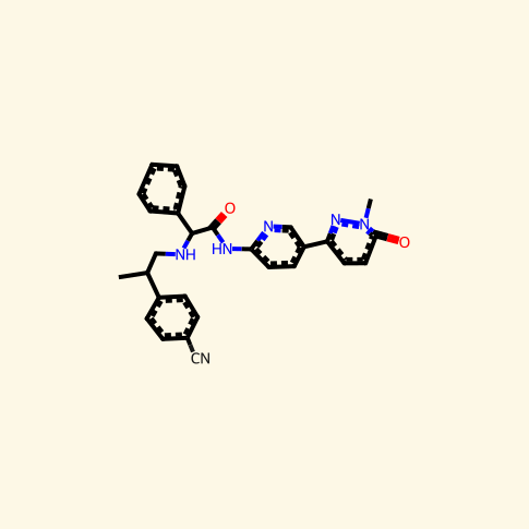 CC(CNC(C(=O)Nc1ccc(-c2ccc(=O)n(C)n2)cn1)c1ccccc1)c1ccc(C#N)cc1